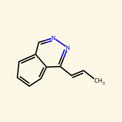 CC=Cc1nncc2ccccc12